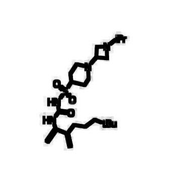 C=C(CCCC(C)(C)C)C(=C)NC(=O)NS(=O)(=O)C1CCN(C2CN(C(C)C)C2)CC1